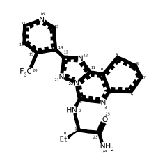 CC[C@@H](Nc1nc2ccccc2c2nc(-c3cnccc3C(F)(F)F)nn12)C(N)=O